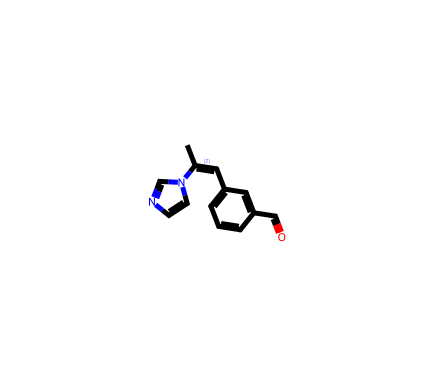 C/C(=C/c1cccc(C=O)c1)n1ccnc1